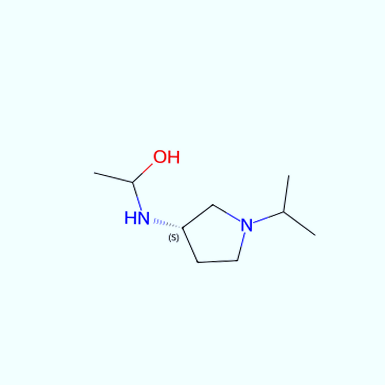 CC(O)N[C@H]1CCN(C(C)C)C1